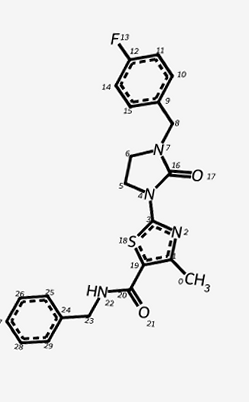 Cc1nc(N2CCN(Cc3ccc(F)cc3)C2=O)sc1C(=O)NCc1ccccc1